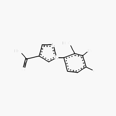 Cc1ccc(-n2cc(C(=O)O)cn2)c(C)c1Br